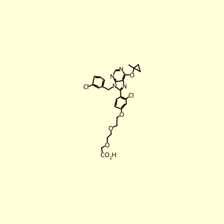 CC1(Oc2ncnc3c2nc(-c2ccc(OCCOCCOCC(=O)O)cc2Cl)n3Cc2cccc(Cl)c2)CC1